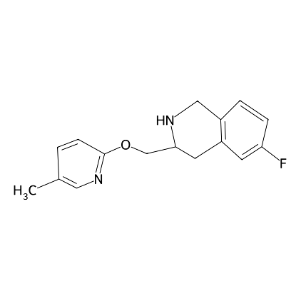 Cc1ccc(OCC2Cc3cc(F)ccc3CN2)nc1